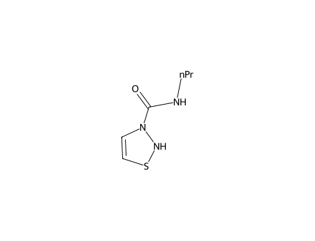 CCCNC(=O)N1C=CSN1